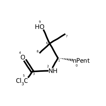 CCCCC[C@H](NC(=O)C(Cl)(Cl)Cl)C(C)(C)O